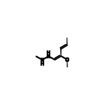 C/C=C/C(=C\NNC)OC